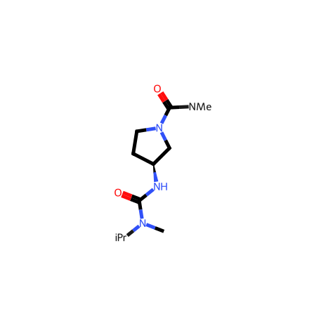 CNC(=O)N1CC[C@H](NC(=O)N(C)C(C)C)C1